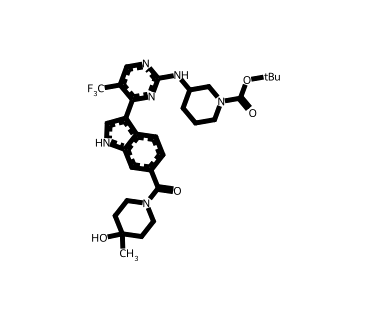 CC1(O)CCN(C(=O)c2ccc3c(-c4nc(NC5CCCN(C(=O)OC(C)(C)C)C5)ncc4C(F)(F)F)c[nH]c3c2)CC1